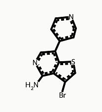 Nc1ncc(-c2ccncc2)c2scc(Br)c12